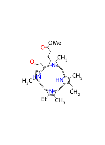 C=Cc1c(C)c2cc3nc(c4c5[nH]c(cc6nc(cc1[nH]2)C(C)=C6CC)c(C)c5C(=O)C4)[C@@H](CCC(=O)OC)C3C